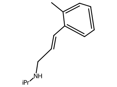 Cc1ccccc1C=CCNC(C)C